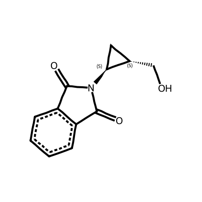 O=C1c2ccccc2C(=O)N1[C@H]1C[C@@H]1CO